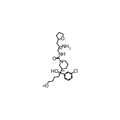 COCCCC[C@@](O)(c1cccc(Cl)c1)[C@@H]1CCCN(C(=O)NC[C@H](N)CC2CCCO2)C1